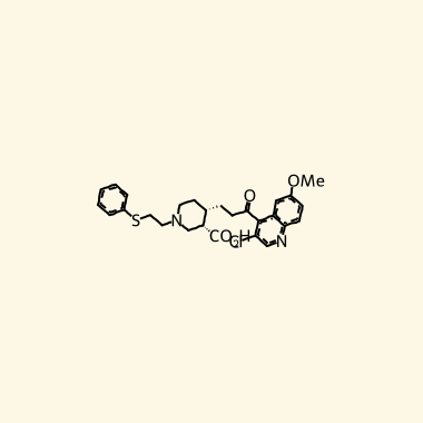 COc1ccc2ncc(Cl)c(C(=O)CC[C@H]3CCN(CCSc4ccccc4)C[C@H]3C(=O)O)c2c1